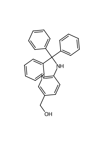 OCc1ccc(NC(c2ccccc2)(c2ccccc2)c2ccccc2)nc1